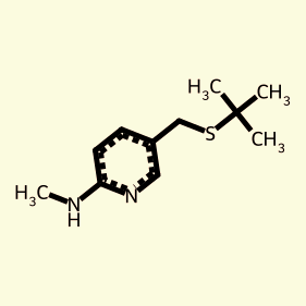 CNc1ccc(CSC(C)(C)C)cn1